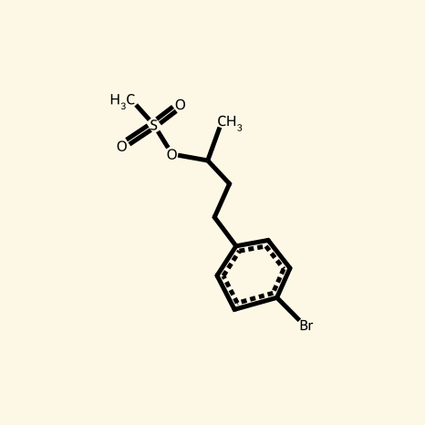 CC(CCc1ccc(Br)cc1)OS(C)(=O)=O